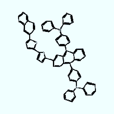 c1ccc(N(c2ccccc2)c2ccc(-c3c4ccccc4c(-c4ccc(N(c5ccccc5)c5ccccc5)cc4)c4cc(-c5ccc(-c6ccc(-c7ccc8ccccc8c7)s6)s5)ccc34)cc2)cc1